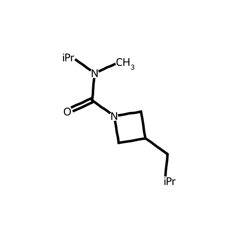 CC(C)CC1CN(C(=O)N(C)C(C)C)C1